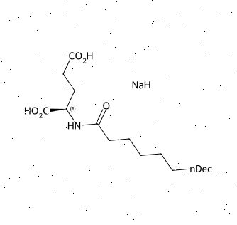 CCCCCCCCCCCCCCCC(=O)N[C@H](CCC(=O)O)C(=O)O.[NaH]